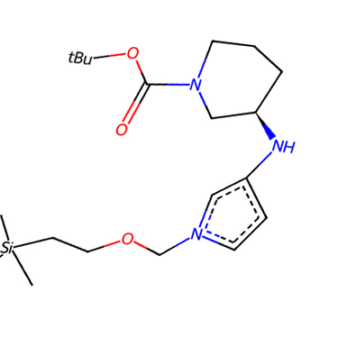 CC(C)(C)OC(=O)N1CCC[C@@H](Nc2ccn(COCC[Si](C)(C)C)c2)C1